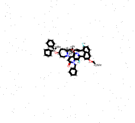 COCOc1cc(-c2nc3c4c(cc(=O)n(Cc5ccccc5)c4c2F)N2CC[C@@H](O[Si](c4ccccc4)(c4ccccc4)C(C)(C)C)CC[C@H]2CO3)c2c(C#C[Si](C(C)C)(C(C)C)C(C)C)c(F)ccc2c1